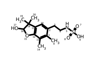 Cc1c(CCNS(=O)(=O)O)cc2c(c1C)OC(O)C2(C)C